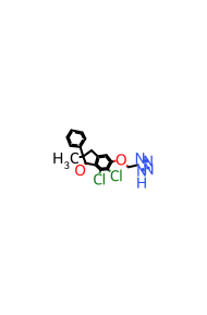 CC1(c2ccccc2)Cc2cc(OCc3nnn[nH]3)c(Cl)c(Cl)c2C1=O